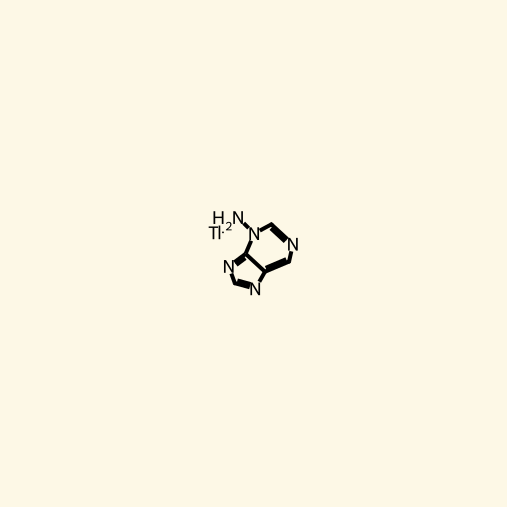 Nn1cncc2ncnc1-2.[Tl]